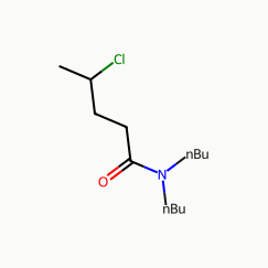 CCCCN(CCCC)C(=O)CCC(C)Cl